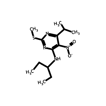 CCC(CC)Nc1nc(SC)nc(C(C)C)c1[N+](=O)[O-]